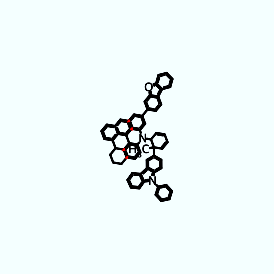 CC1(c2ccc3c(c2)c2ccccc2n3-c2ccccc2)C=CC=CC1N(c1cccc(-c2ccc3c(c2)oc2ccccc23)c1)c1ccccc1-c1cccc2cccc(C3CCCCC3)c12